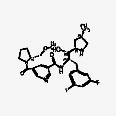 COC[C@H]1CCCN1C(=O)c1cncc(C(=O)N[C@@H](Cc2cc(F)cc(F)c2)[C@H](O)[C@H]2C[C@@H](C)CN2)c1